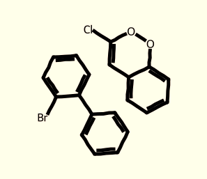 Brc1ccccc1-c1ccccc1.ClC1=Cc2ccccc2OO1